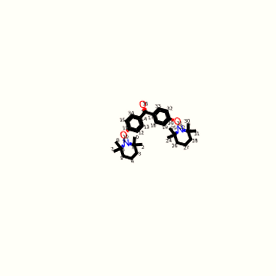 CC1(C)CCCC(C)(C)N1Oc1ccc(C(=O)c2ccc(ON3C(C)(C)CCCC3(C)C)cc2)cc1